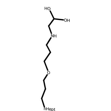 CCCCCCCCCCOCCCNCC(O)O